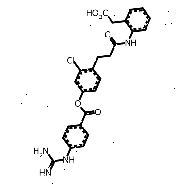 N=C(N)Nc1ccc(C(=O)Oc2ccc(CCC(=O)Nc3ccccc3CC(=O)O)c(Cl)c2)cc1